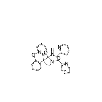 CC1(NC(=O)c2ccccn2)N(Cc2ccccn2)CCC12c1ccccc1Oc1ccccc12